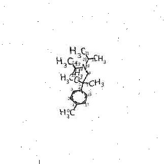 Cc1ccc(C(C)(C)CN(C(C)C)C(C)C)cc1